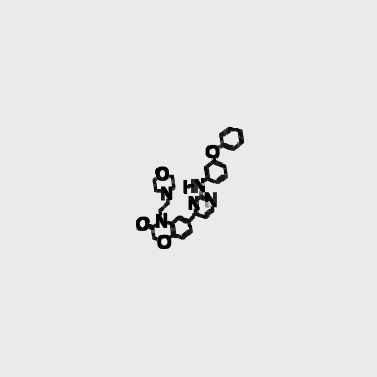 O=C1COc2ccc(-c3ccnc(Nc4cccc(Oc5ccccc5)c4)n3)cc2N1CCN1CCOCC1